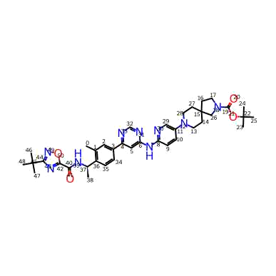 Cc1cc(-c2cc(Nc3ccc(N4CCC5(CCN(C(=O)OC(C)(C)C)C5)CC4)cn3)ncn2)ccc1[C@@H](C)NC(=O)c1nc(C(C)(C)C)no1